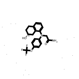 NC(=O)CN(c1ccc(OC(F)(F)F)cc1)c1cccc2c1C[C@H](O)CC2